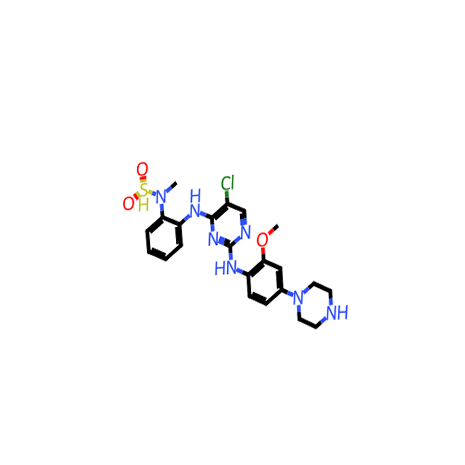 COc1cc(N2CCNCC2)ccc1Nc1ncc(Cl)c(Nc2ccccc2N(C)[SH](=O)=O)n1